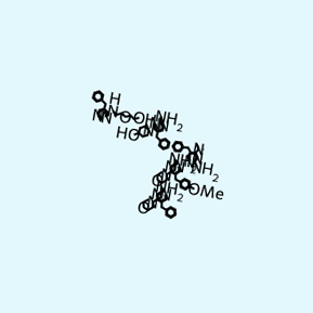 CN(C)c1nc(N)ncc1Cc1ccccc1.COc1ccc(Cc2cnc(N)nc2N2CCOCC2)cc1.Nc1ncc(Cc2ccccc2)c(N2CCC(O)CC2)n1.Nc1ncc(Cc2ccccc2)c(N2CCOCC2)n1.OCCOCCNc1ncncc1Cc1ccccc1